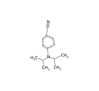 CC(C)N(c1ccc(C#N)cc1)C(C)C